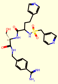 N=C(N)c1ccc(CNC(=O)[C@H](CO)NC(=O)C(CCc2ccncc2)NS(=O)(=O)Cc2ccncc2)cc1